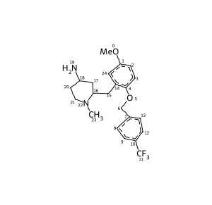 COc1ccc(OCc2ccc(C(F)(F)F)cc2)c(CC2CC(N)CCN2C)c1